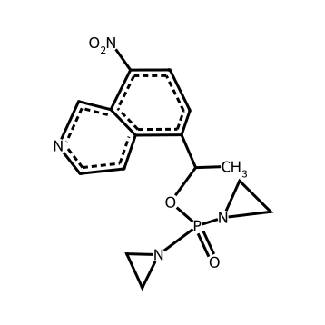 CC(OP(=O)(N1CC1)N1CC1)c1ccc([N+](=O)[O-])c2cnccc12